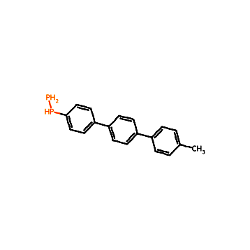 Cc1ccc(-c2ccc(-c3ccc(PP)cc3)cc2)cc1